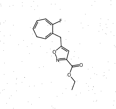 CCOC(=O)c1cc(CC2=CCC=CC=C2F)on1